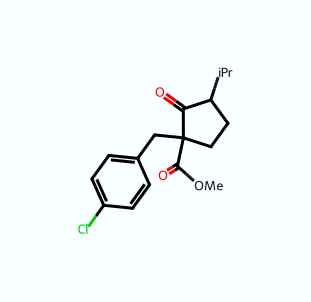 COC(=O)C1(Cc2ccc(Cl)cc2)CCC(C(C)C)C1=O